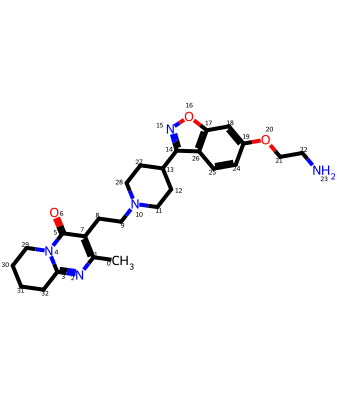 Cc1nc2n(c(=O)c1CCN1CCC(c3noc4cc(OCCN)ccc34)CC1)CCCC2